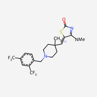 CNC1=NC(=O)S/C1=C\C1(C)CCN(Cc2ccc(C(F)(F)F)cc2C(F)(F)F)CC1